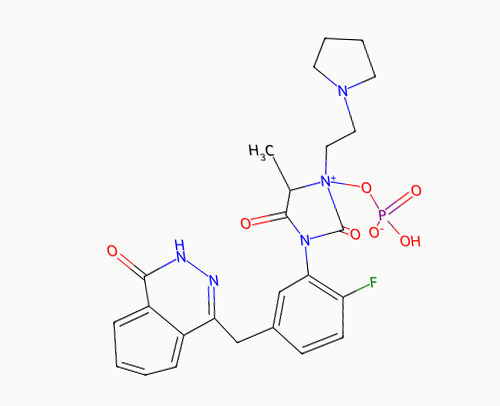 CC1C(=O)N(c2cc(Cc3n[nH]c(=O)c4ccccc34)ccc2F)C(=O)[N+]1(CCN1CCCC1)OP(=O)([O-])O